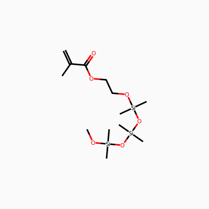 C=C(C)C(=O)OCCO[Si](C)(C)O[Si](C)(C)O[Si](C)(C)OC